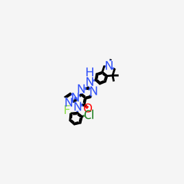 CN1Cc2cc(Nc3ncc4c(=O)n(-c5c(F)cccc5Cl)c5nccn5c4n3)ccc2C(C)(C)C1